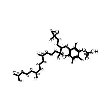 Cc1c(C)c2c(c(C)c1OC(=O)O)CC(CCC1(C)CO1)C(C)(CCCC(C)CCCC(C)CCCC(C)C)O2